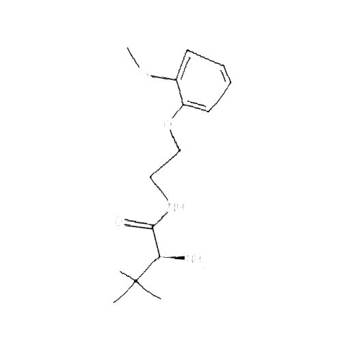 COc1ccccc1OCCNC(=O)[C@@H](N)C(C)(C)C